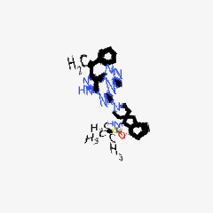 C=C(c1ccccc1)c1n[nH]c2nc(N3CCC4(CC3)Cc3ccccc3[C@H]4N[S@+]([O-])C(C)(C)C)n3cnnc3c12